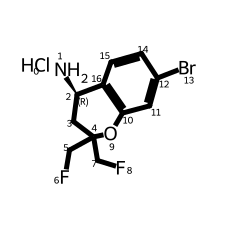 Cl.N[C@@H]1CC(CF)(CF)Oc2cc(Br)ccc21